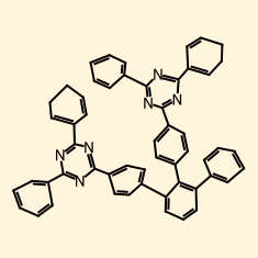 C1=CC(c2nc(-c3ccccc3)nc(-c3ccc(-c4cccc(-c5ccccc5)c4-c4ccc(-c5nc(C6=CCCC=C6)nc(-c6ccccc6)n5)cc4)cc3)n2)=CCC1